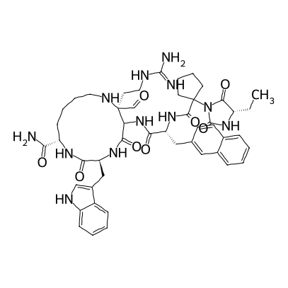 CC[C@@H]1NC(=O)N(C2(C(=O)N[C@H](Cc3ccc4ccccc4c3)C(=O)NC3C(=O)N[C@@H](Cc4c[nH]c5ccccc45)C(=O)N[C@H](C(N)=O)CCCCN[C@]3(C=O)CCNC(=N)N)CCCC2)C1=O